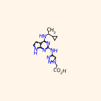 C[C@H](Nc1nc(Nc2cn(CC(=O)O)nn2)nc2[nH]ccc12)C1CC1